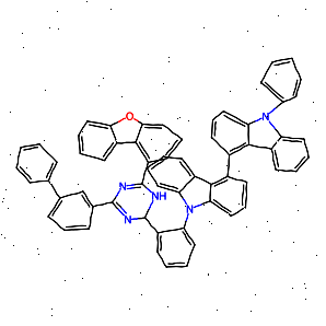 c1ccc(-c2cccc(C3=NC(c4ccccc4-n4c5ccccc5c5c(-c6cccc7c6c6ccccc6n7-c6ccccc6)cccc54)NC(c4cccc5oc6ccccc6c45)=N3)c2)cc1